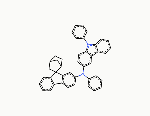 c1ccc(N(c2ccc3c(c2)C2(CC4CCC2C4)c2ccccc2-3)c2ccc3c(c2)c2ccccc2n3-c2ccccc2)cc1